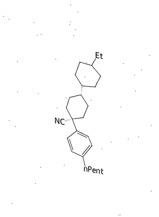 CCCCCc1ccc([C@]2(C#N)CC[C@@H](C3CCC(CC)CC3)CC2)cc1